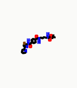 CC(C)(C)OC(=O)NCCCCNC(=O)c1ccc(C(=O)Nc2nc(-c3ccccn3)cs2)cc1